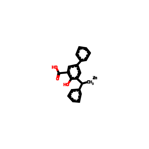 CC(c1ccccc1)c1cc(-c2ccccc2)cc(C(=O)O)c1O.[Zn]